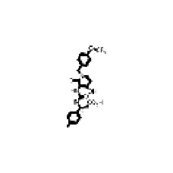 Cc1ccc([C@H](CC(=O)O)NC(=O)Nc2c(O)ccn(Cc3ccc(OC(F)(F)F)cc3)c2=O)cc1